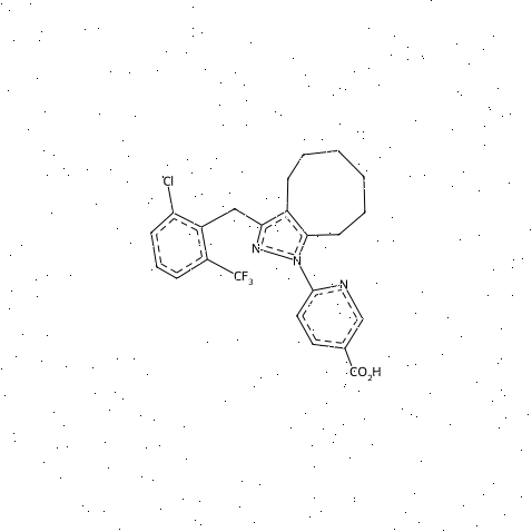 O=C(O)c1ccc(-n2nc(Cc3c(Cl)cccc3C(F)(F)F)c3c2CCCCCC3)nc1